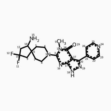 Cn1c(N2CCC3(CC2)CC(F)(F)CC3N)nc2[nH]nc(-c3ccncc3)c2c1=O